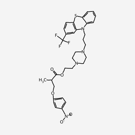 CC(COc1ccc([N+](=O)[O-])cc1)C(=O)OCCN1CCN(CCCN2c3ccccc3Sc3ccc(C(F)(F)F)cc32)CC1